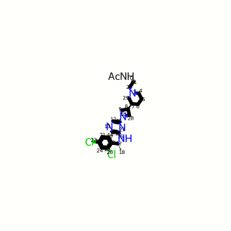 CC(=O)NCCN1CCC[C@@H](C2CN(c3cncc(N[C@H](C)c4ccc(Cl)cc4Cl)n3)C2)C1